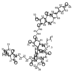 C=CC[C@H]1[C@H](C)C(NC(=O)[C@H](C)NC(=O)[C@@H](NC(=O)CCCCCN2C(=O)CC(NN(C)CC)C2=O)C(C)C)N1c1cc(OCCCOc2cc3c(cc2OC)C(=O)N2C=C(c4ccc(OC)cc4)CC2C=N3)c(OC)cc1C(=O)NC=C